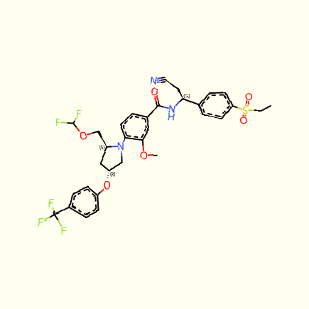 CCS(=O)(=O)c1ccc([C@H](CC#N)NC(=O)c2ccc(N3C[C@H](Oc4ccc(C(F)(F)F)cc4)C[C@H]3COC(F)F)c(OC)c2)cc1